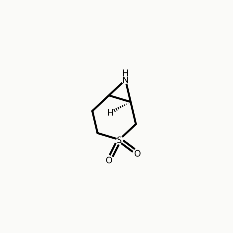 O=S1(=O)CCC2N[C@H]2C1